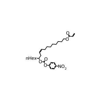 C=CC(=O)OCCCCCCCC/C=C\CC(CCCCCC)OC(=O)Oc1ccc([N+](=O)[O-])cc1